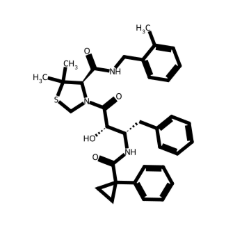 Cc1ccccc1CNC(=O)[C@H]1N(C(=O)[C@@H](O)[C@H](Cc2ccccc2)NC(=O)C2(c3ccccc3)CC2)CSC1(C)C